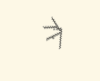 CCCCCCCCCCCCCCN(CCCCCCCC(=O)OCCCCC)CC1CCN(C(=O)CN(CCCCCCCCC)CCNCCCCCCCCC)C1